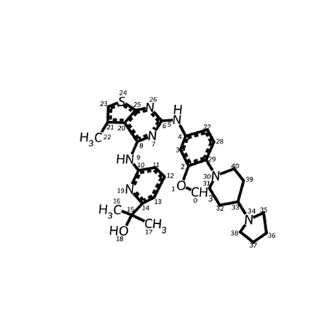 COc1cc(Nc2nc(Nc3cccc(C(C)(C)O)n3)c3c(C)csc3n2)ccc1N1CCC(N2CCCC2)CC1